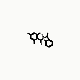 Cc1cc(C)c(C(=O)P2(=O)c3ccccc3C2C)c(C)c1